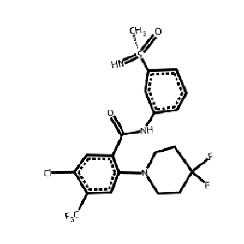 C[S@](=N)(=O)c1cccc(NC(=O)c2cc(Cl)c(C(F)(F)F)cc2N2CCC(F)(F)CC2)c1